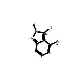 Cn1nc2cccc(Br)c2c1Cl